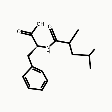 CC(C)CC(C)C(=O)N[C@@H](Cc1ccccc1)C(=O)O